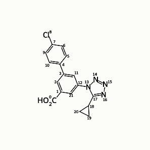 O=C(O)c1cc(-c2ccc(Cl)cc2)cc(-n2nnnc2C2CC2)c1